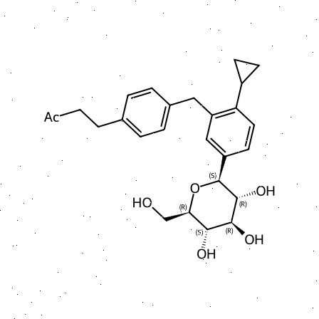 CC(=O)CCc1ccc(Cc2cc([C@@H]3O[C@H](CO)[C@@H](O)[C@H](O)[C@H]3O)ccc2C2CC2)cc1